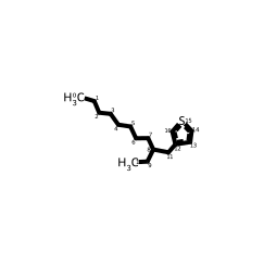 CCCCCCCCC(CC)Cc1ccsc1